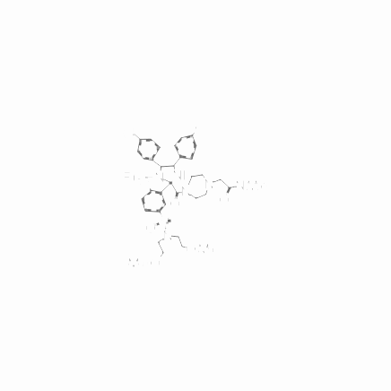 CCOc1ccc(S(=O)(=O)N(CCOC)CCOC)cc1C1(C(=O)N2CCN(CC(=O)NC)CC2)NC(c2ccc(Cl)cc2)C(c2ccc(Cl)cc2)N1